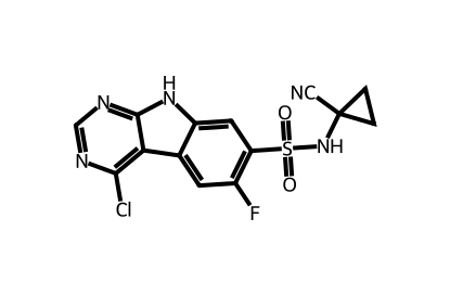 N#CC1(NS(=O)(=O)c2cc3[nH]c4ncnc(Cl)c4c3cc2F)CC1